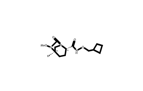 CON1C(=O)N2C[C@H]1CC[C@H]2C(=O)NOCC1CCC1